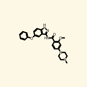 COc1cc(N2CCN(C)CC2)ccc1C(=O)Nc1n[nH]c2ccc(Oc3ccccc3)cc12